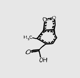 Cc1c(C(=O)O)ccc2ooc12